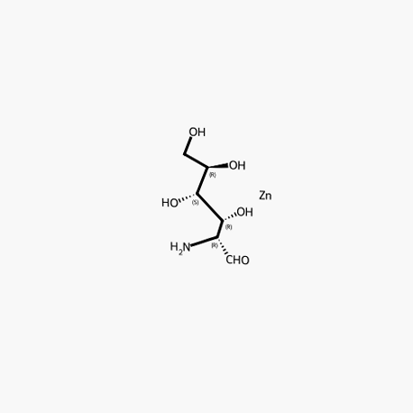 N[C@@H](C=O)[C@@H](O)[C@H](O)[C@H](O)CO.[Zn]